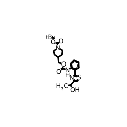 CC(O)c1csc(-c2ccccc2NC(=O)OCC2CCN(C(=O)OC(C)(C)C)CC2)n1